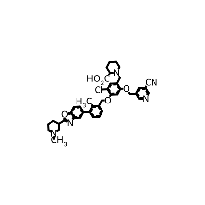 Cc1c(COc2cc(OCc3cncc(C#N)c3)c(CN3CCCCC3C(=O)O)cc2Cl)cccc1-c1ccc2oc(C3CCCN(C)C3)nc2c1